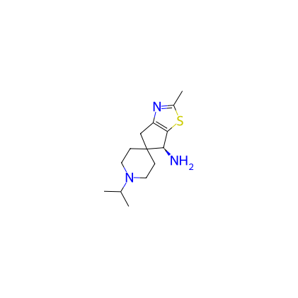 Cc1nc2c(s1)[C@@H](N)C1(CCN(C(C)C)CC1)C2